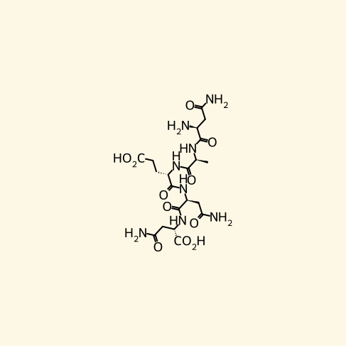 C[C@H](NC(=O)[C@@H](N)CC(N)=O)C(=O)N[C@@H](CCC(=O)O)C(=O)N[C@@H](CC(N)=O)C(=O)N[C@@H](CC(N)=O)C(=O)O